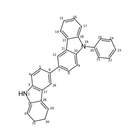 C1=c2[nH]c3ccc(-c4ccc5c(c4)c4ccccc4n5-c4ccccc4)cc3c2=CCC1